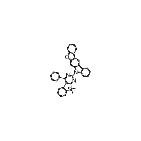 C[Si]1(C)c2ccccc2-c2c(-c3ccccc3)nc(-n3c4ccccc4c4cc5c(cc43)oc3ccccc35)nc21